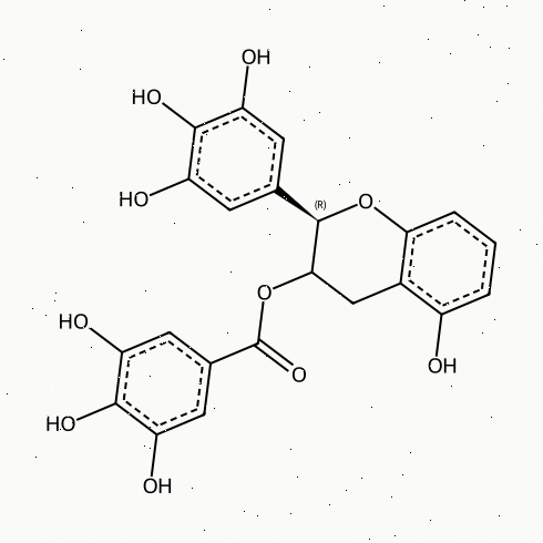 O=C(OC1Cc2c(O)cccc2O[C@@H]1c1cc(O)c(O)c(O)c1)c1cc(O)c(O)c(O)c1